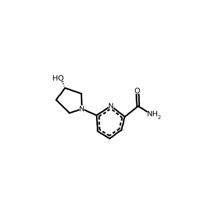 NC(=O)c1[c]ccc(N2CC[C@H](O)C2)n1